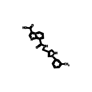 Cc1cccc(N2C=C(CNC(=O)c3cccn4c(C(=O)O)cnc34)CN2)c1